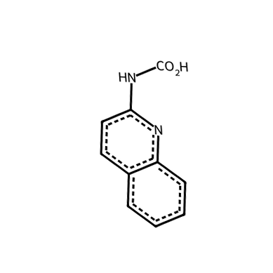 O=C(O)Nc1ccc2ccccc2n1